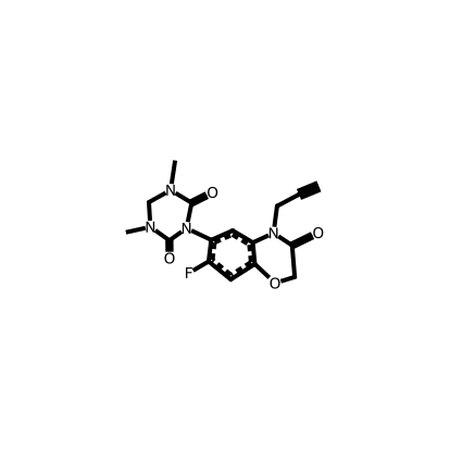 C#CCN1C(=O)COc2cc(F)c(N3C(=O)N(C)CN(C)C3=O)cc21